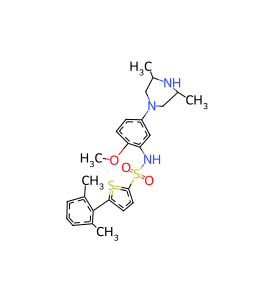 COc1ccc(N2CC(C)NC(C)C2)cc1NS(=O)(=O)c1ccc(-c2c(C)cccc2C)s1